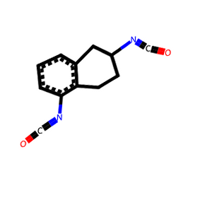 O=C=Nc1cccc2c1CCC(N=C=O)C2